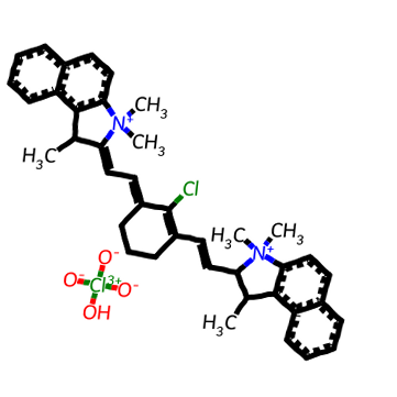 CC1C(=CC=C2CCCC(C=CC3C(C)c4c(ccc5ccccc45)[N+]3(C)C)=C2Cl)[N+](C)(C)c2ccc3ccccc3c21.[O-][Cl+3]([O-])([O-])O